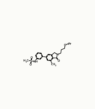 Cc1cc(-c2cccc(NS(C)(=O)=O)c2)cc2c1C(=O)N(CCCOC(C)C)C2